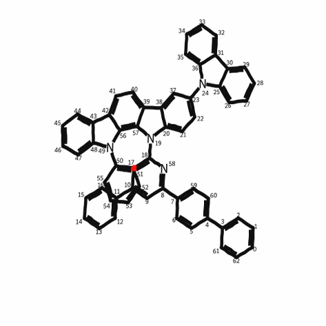 c1ccc(-c2ccc(-c3cc(-c4ccccc4)cc(-n4c5ccc(-n6c7ccccc7c7ccccc76)cc5c5ccc6c7ccccc7n(-c7ccccc7)c6c54)n3)cc2)cc1